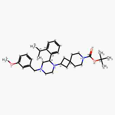 COc1cccc(CN2CCN(C3CC4(CCN(C(=O)OC(C)(C)C)CC4)C3)C(c3ccccc3C(C)C)C2)c1